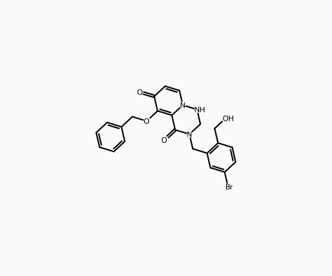 O=C1c2c(OCc3ccccc3)c(=O)ccn2NCN1Cc1cc(Br)ccc1CO